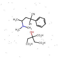 CC(CC(C#N)(c1ccccc1)C(C)C)N(C)C.O=C(O)CC(O)(CC(=O)O)C(=O)O